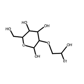 CCC(O)COC1C(O)OC(CO)C(O)C1O